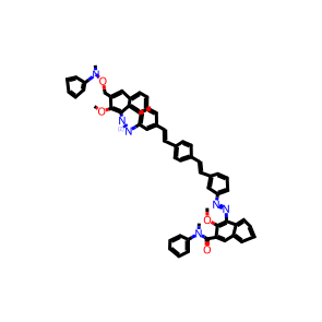 COc1c(C(=O)N(C)c2ccccc2)cc2ccccc2c1N=Nc1cccc(C=Cc2ccc(C=Cc3cccc(/N=N\c4c(OC)c(CON(C)c5ccccc5)cc5ccccc45)c3)cc2)c1